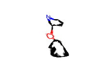 [c]1ccccc1Oc1cccnc1